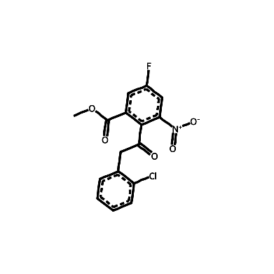 COC(=O)c1cc(F)cc([N+](=O)[O-])c1C(=O)Cc1ccccc1Cl